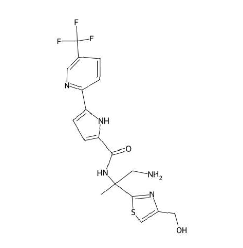 CC(CN)(NC(=O)c1ccc(-c2ccc(C(F)(F)F)cn2)[nH]1)c1nc(CO)cs1